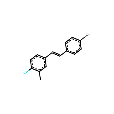 CCc1ccc(/C=C/c2ccc(F)c(C)c2)cc1